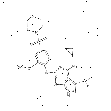 COc1cc(S(=O)(=O)N2CCOCC2)ccc1Nc1nc(NC2CC2)c2c(C(F)(F)F)c[nH]c2n1